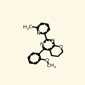 COc1ccccc1-c1nc(-c2cccc(C)n2)nc2c1CCCO2